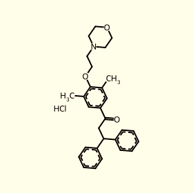 Cc1cc(C(=O)CC(c2ccccc2)c2ccccc2)cc(C)c1OCCN1CCOCC1.Cl